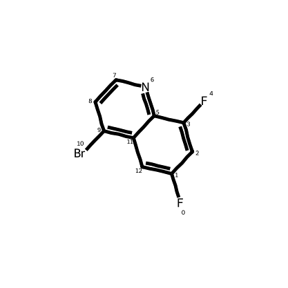 Fc1cc(F)c2nccc(Br)c2c1